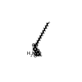 CCCCCCCCCCCCCCCCCCOC(=O)c1ccc(/C(N)=C2/C(=O)C=C(C)OC2=O)cc1